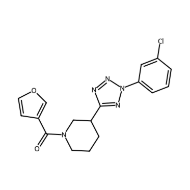 O=C(c1ccoc1)N1CCCC(c2nnn(-c3cccc(Cl)c3)n2)C1